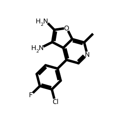 Cc1ncc(-c2ccc(F)c(Cl)c2)c2c(N)c(N)oc12